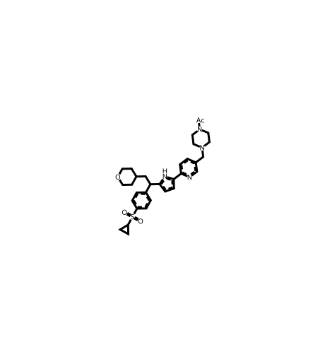 CC(=O)N1CCN(Cc2ccc(-c3ccc(C(CC4CCOCC4)c4ccc(S(=O)(=O)C5CC5)cc4)[nH]3)nc2)CC1